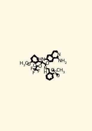 COc1cccc(C(Nc2ccc3c(N)nccc3c2)(OC(=O)C(F)(F)F)C(=O)NCc2ccccc2S(C)(=O)=O)c1